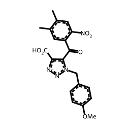 COc1ccc(Cn2nnc(C(=O)O)c2C(=O)c2cc(C)c(C)cc2[N+](=O)[O-])cc1